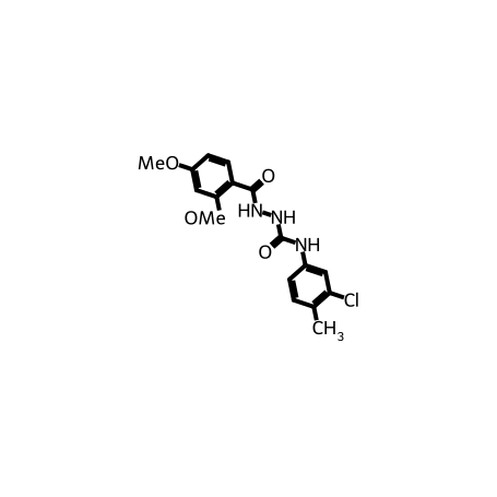 COc1ccc(C(=O)NNC(=O)Nc2ccc(C)c(Cl)c2)c(OC)c1